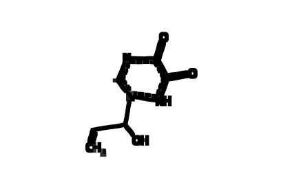 C=CC(O)n1[c]nc(=O)c(=O)[nH]1